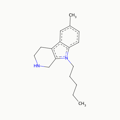 CCCCCn1c2c(c3cc(C)ccc31)CCNC2